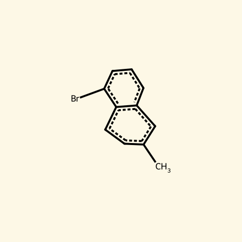 Cc1ccc2c(Br)cccc2c1